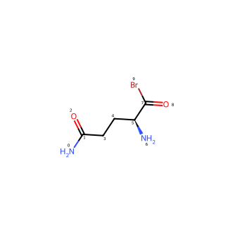 NC(=O)CC[C@H](N)C(=O)Br